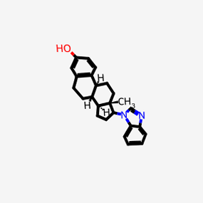 C[C@]12CC[C@@H]3c4ccc(O)cc4CC[C@H]3[C@@H]1CCC2n1cnc2ccccc21